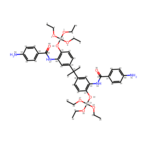 CCO[Si](OCC)(OCC)Oc1ccc(C(C)(C)c2ccc(O[Si](OCC)(OCC)OCC)c(NC(=O)c3ccc(N)cc3)c2)cc1NC(=O)c1ccc(N)cc1